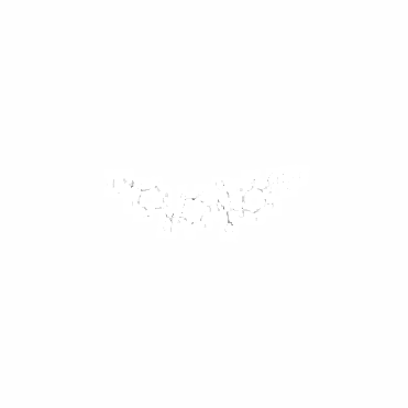 Nc1ccc(Nc2ccc(N3C(=O)c4ccc(C(=O)O)cc4C3=O)cc2)cc1